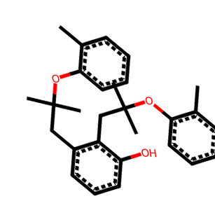 Cc1ccccc1OC(C)(C)Cc1cccc(O)c1CC(C)(C)Oc1ccccc1C